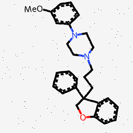 COc1cccc(N2CCN(CCCC3(c4ccccc4)COc4ccccc43)CC2)c1